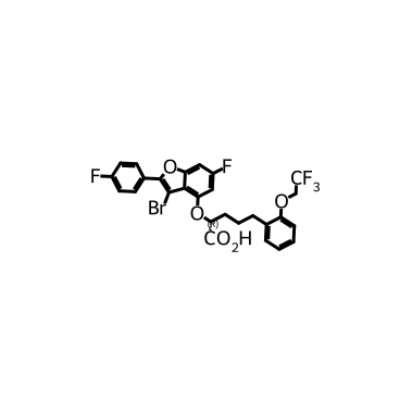 O=C(O)[C@@H](CCCc1ccccc1OCC(F)(F)F)Oc1cc(F)cc2oc(-c3ccc(F)cc3)c(Br)c12